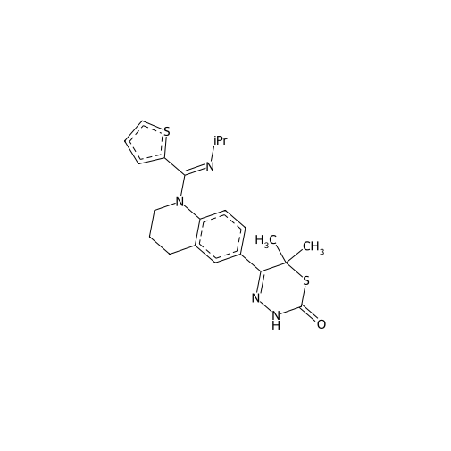 CC(C)N=C(c1cccs1)N1CCCc2cc(C3=NNC(=O)SC3(C)C)ccc21